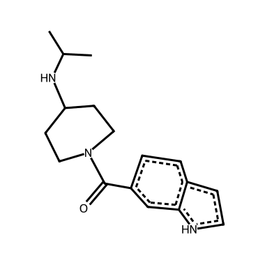 CC(C)NC1CCN(C(=O)c2ccc3cc[nH]c3c2)CC1